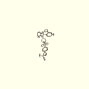 O=S(=O)(c1ccc(OC(F)F)cc1)N1CCC(n2c(-c3ccncc3Cl)nc3cccnc32)CC1